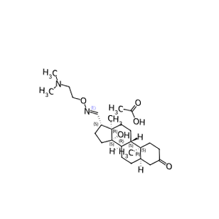 CC(=O)O.CN(C)CCO/N=C/[C@H]1CC[C@]2(O)[C@@H]3CC[C@@H]4CC(=O)CC[C@]4(C)[C@H]3CC[C@]12C